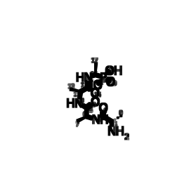 C[C@H](N)C(=O)N[C@@H](C)C(=O)N[C@@H](C)C(=O)N[C@@H](C)P(=O)(O)O